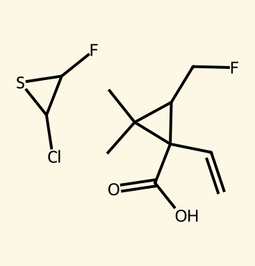 C=CC1(C(=O)O)C(CF)C1(C)C.FC1SC1Cl